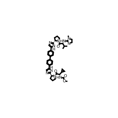 COC(=O)N[C@H](C(=O)N1CCC[C@H]1c1ncc(-c2ccc(-c3ccc(-c4cnc([C@@H]5CCCN5C(=O)[C@H](NC5=NCCN5C)C(C)C)[nH]4)cc3)cc2)[nH]1)C1CC1